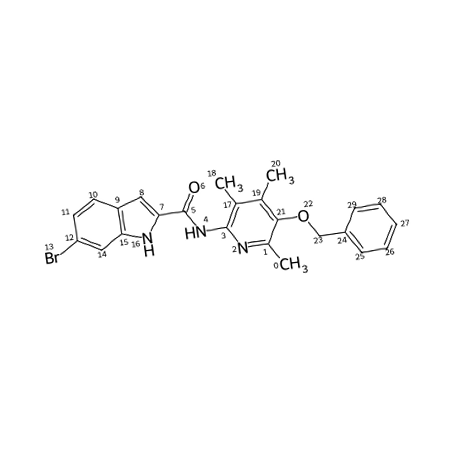 Cc1nc(NC(=O)c2cc3ccc(Br)cc3[nH]2)c(C)c(C)c1OCc1ccccc1